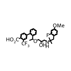 COc1ccc(CC(C)(C)NC[C@H](O)COC(C)c2ccccc2-c2ccc(C(=O)O)c(C(F)(F)F)c2)c(F)c1